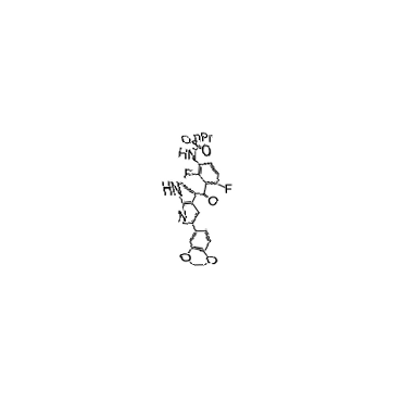 CCCS(=O)(=O)Nc1ccc(F)c(C(=O)c2c[nH]c3ncc(-c4ccc5c(c4)OCCO5)cc23)c1F